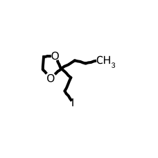 CCCC1(CCI)OCCO1